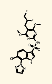 COc1nc(NS(=O)(=O)c2c[nH]c3c(-n4nccn4)c(Cl)ccc23)nc(OC)c1CC(F)CF